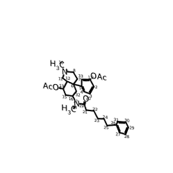 CC(=O)Oc1cccc(C23CCN(C)CC2C(OC(C)=O)CC(N(C)C(=O)CCCCCc2ccccc2)C3)c1